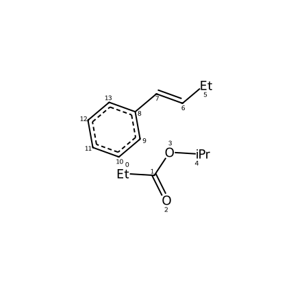 CCC(=O)OC(C)C.CCC=Cc1ccccc1